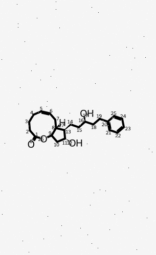 O=C1CCC/C=C\C[C@H]2C(C[C@@H](O)[C@@H]2CC[C@@H](O)CCc2ccccc2)O1